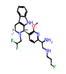 COc1nc(C(N)CNCCCF)ccc1[C@@H]1c2[nH]c3ccccc3c2C[C@@H](C)N1CC(F)F